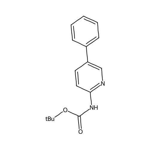 CC(C)(C)OC(=O)Nc1ccc(-c2ccccc2)cn1